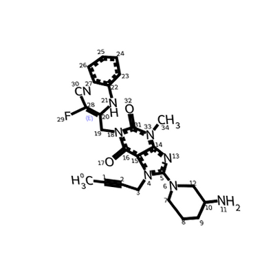 CC#CCn1c(N2CCCC(N)C2)nc2c1c(=O)n(C/C(Nc1ccccc1)=C(\F)C#N)c(=O)n2C